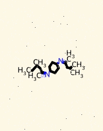 CCC(C)C/C(C)=N\C1CCC(/N=C(/C)CC(C)C)CC1